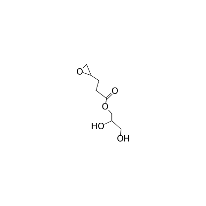 O=C(CCC1CO1)OCC(O)CO